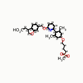 Cc1cc(OCCCCS(C)(=O)=O)cc(C)c1-c1cccc(OCc2ccc3c(c2)OCC3CC(=O)O)n1